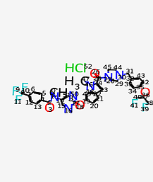 CN(C(=O)c1ccc(C(F)(F)F)cc1)c1cnc(Oc2ccc3cc(C(=O)N4CCN(Cc5ccc(OC(CF)CF)cc5)CC4)n(C)c3c2)nc1.Cl